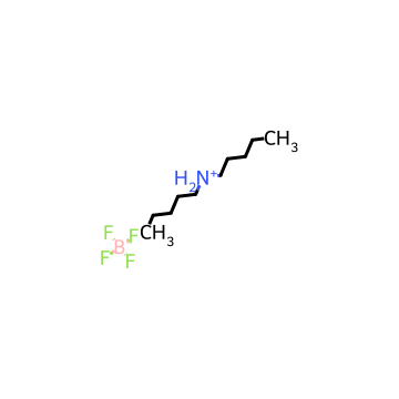 CCCCC[NH2+]CCCCC.F[B-](F)(F)F